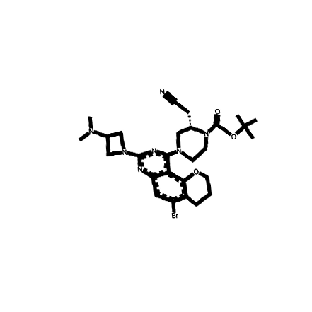 CN(C)C1CN(c2nc(N3CCN(C(=O)OC(C)(C)C)[C@@H](CC#N)C3)c3c4c(c(Br)cc3n2)CCCO4)C1